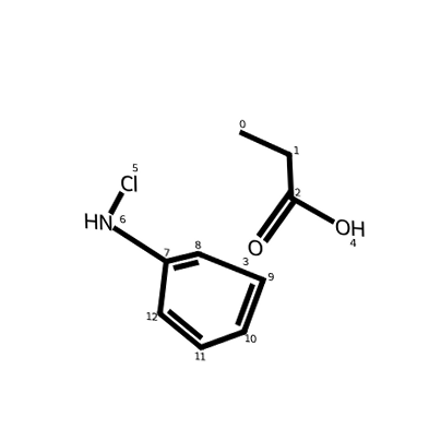 CCC(=O)O.ClNc1ccccc1